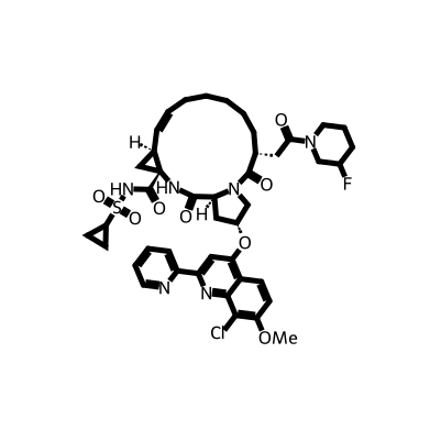 COc1ccc2c(O[C@@H]3C[C@H]4C(=O)N[C@]5(C(=O)NS(=O)(=O)C6CC6)C[C@H]5/C=C\CCCCC[C@H](CC(=O)N5CCCC(F)C5)C(=O)N4C3)cc(-c3ccccn3)nc2c1Cl